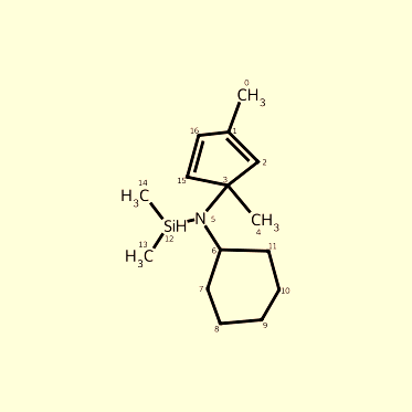 CC1=CC(C)(N(C2CCCCC2)[SiH](C)C)C=C1